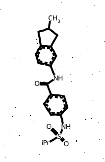 CC1Cc2ccc(NC(=O)c3ccc(NS(=O)(=O)C(C)C)cc3)cc2C1